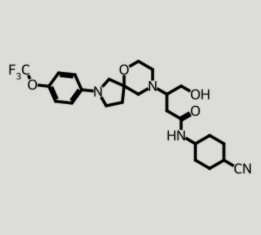 N#CC1CCC(NC(=O)CC(CO)N2CCOC3(CCN(c4ccc(OC(F)(F)F)cc4)C3)C2)CC1